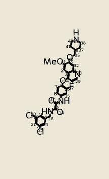 COc1cc2c(Oc3ccc(NC(=O)C(=O)NCc4cc(Cl)cc(Cl)c4)cc3F)ccnc2cc1OCC1CCNCC1